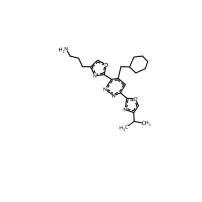 CC(C)c1coc(-c2cc(CC3CCCCC3)c(-c3nc(CCCN)co3)nn2)n1